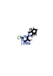 Clc1nc(N2C[C@H]3CCC[C@H]3C2)c2cn[nH]c2n1